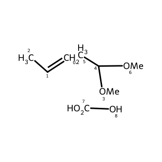 C=CC.COC(C)OC.O=C(O)O